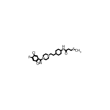 CSCCC(=O)NC1CCC(CCN2CCN(c3noc4cc(F)c(Cl)cc34)CC2)CC1